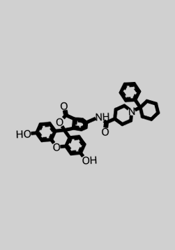 O=C1OC2(c3ccc(O)cc3Oc3cc(O)ccc32)c2ccc(NC(=O)C3CCN(C4(c5ccccc5)CCCCC4)CC3)cc21